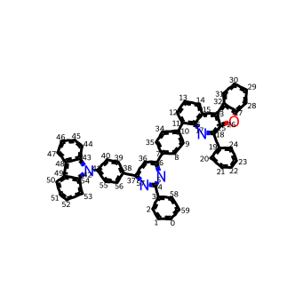 c1ccc(-c2nc(-c3ccc(-c4cccc5c4nc(-c4ccccc4)c4oc6ccccc6c45)cc3)cc(-c3ccc(-n4c5ccccc5c5ccccc54)cc3)n2)cc1